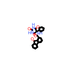 O=C1NC(=O)C(NC(=O)c2cccc3c2C(=O)c2ccccc2-3)(c2ccccc2)C(=O)N1